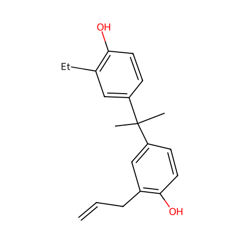 C=CCc1cc(C(C)(C)c2ccc(O)c(CC)c2)ccc1O